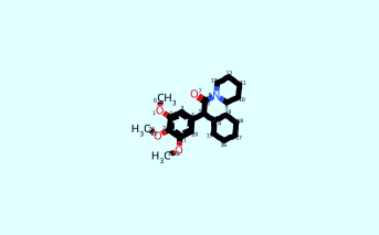 COc1cc(C(C(=O)N2CCCCC2)C2CCCCC2)cc(OC)c1OC